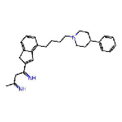 CC(=N)CC(=N)C1=Cc2c(CCCCN3CCC(c4ccccc4)CC3)cccc2C1